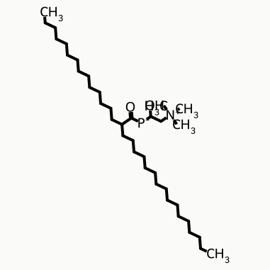 CCCCCCCCCCCCCCCCC(CCCCCCCCCCCCCC)C(=O)[P-]C(O)C[N+](C)(C)C